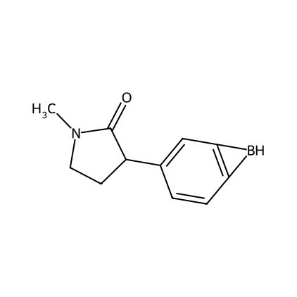 CN1CCC(c2ccc3c(c2)B3)C1=O